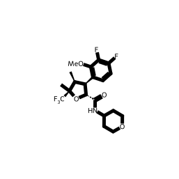 COc1c([C@H]2[C@H](C(=O)NC3CCOCC3)O[C@@](C)(C(F)(F)F)[C@H]2C)ccc(F)c1F